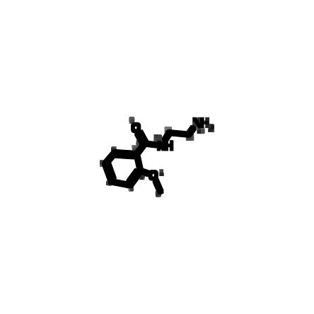 COc1ccccc1C(=O)NCCN